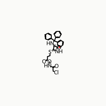 O=C(CCl)NOC(=O)CCS[C@H]1NC(=O)[C@H]1NC(c1ccccc1)(c1ccccc1)c1ccccc1